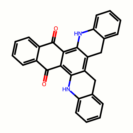 O=C1c2ccccc2C(=O)c2c3c(c4c(c21)Nc1ccccc1C4)Cc1ccccc1N3